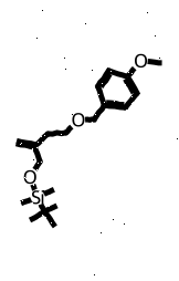 C=C(CCOCc1ccc(OC)cc1)CO[Si](C)(C)C(C)(C)C